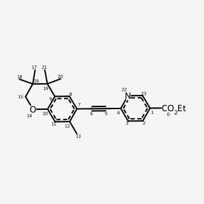 CCOC(=O)c1ccc(C#Cc2cc3c(cc2C)OCC(C)(C)C3(C)C)nc1